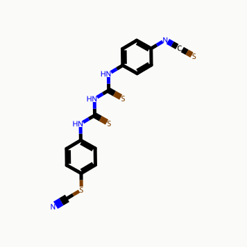 N#CSc1ccc(NC(=S)NC(=S)Nc2ccc(N=C=S)cc2)cc1